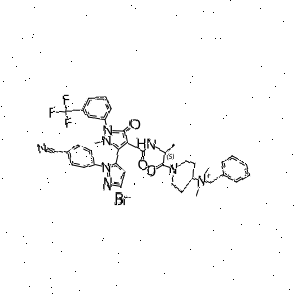 C[C@H](NC(=O)c1c(-c2ccnn2-c2ccc(C#N)cc2)n(C)n(-c2cccc(C(F)(F)F)c2)c1=O)C(=O)N1CCC([N+](C)(C)Cc2ccccc2)CC1.[Br-]